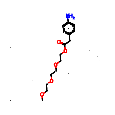 COCCOCCOCCOC(=O)Cc1ccc(N)cc1